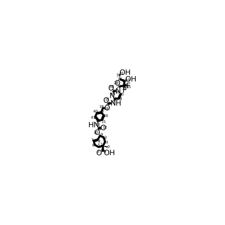 C[C@@]1(C(=O)O)CC/C=C/[C@H](OC(=O)Nc2ccc(COC(=O)Nc3ccn([C@@H]4O[C@H](CO)[C@@H](O)C4(F)F)c(=O)n3)cc2)CC1